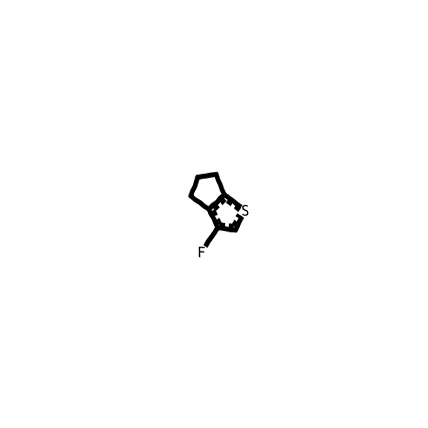 Fc1csc2c1CCC2